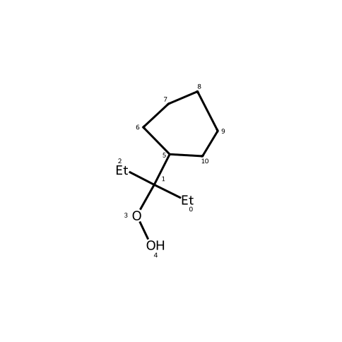 CCC(CC)(OO)C1CCCCC1